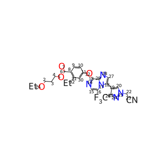 CCOCCCOC(=O)c1ccc(Oc2nccn3c(-c4cn(CC#N)nc4C(F)(F)F)cnc23)cc1CC